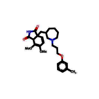 COC1=C(OC)C2C(=O)NC(=O)C2(CC2CCCCN(CCCOc3cccc(C)c3)C2)C=C1